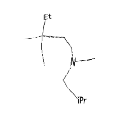 CCC(C)(C)CN(C)CC(C)C